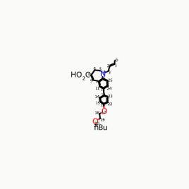 CC=CCN1CCC(C(=O)O)=Cc2cc(-c3ccc(OCCOCCCC)cc3)ccc21